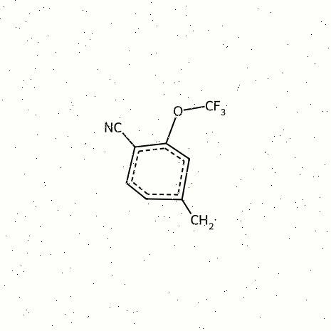 [CH2]c1ccc(C#N)c(OC(F)(F)F)c1